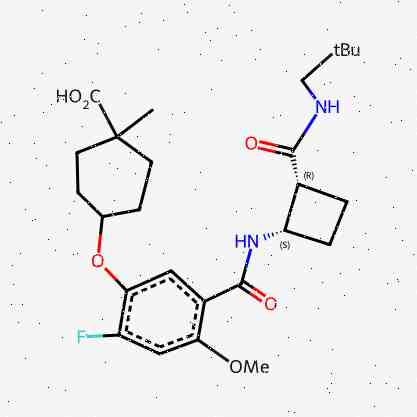 COc1cc(F)c(OC2CCC(C)(C(=O)O)CC2)cc1C(=O)N[C@H]1CC[C@H]1C(=O)NCC(C)(C)C